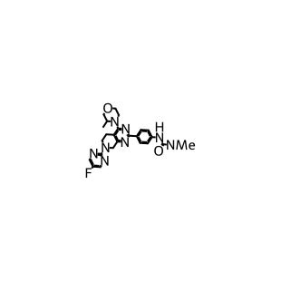 CNC(=O)Nc1ccc(-c2nc3c(c(N4CCOCC4C)n2)CCN(c2ncc(F)cn2)C3)cc1